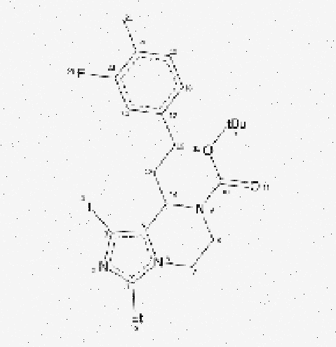 CCc1nc(I)c2n1CCN(C(=O)OC(C)(C)C)C2CCc1ccc(C)c(F)c1